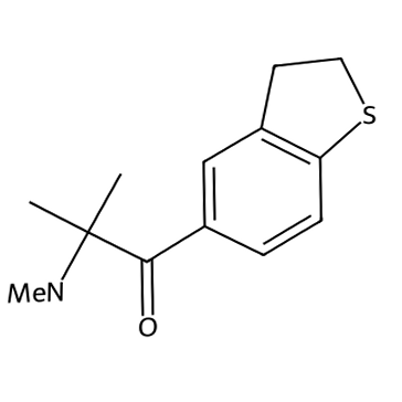 CNC(C)(C)C(=O)c1ccc2c(c1)CCS2